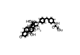 CC(C)(C)OC(=O)NC1CCC(Cc2ccc(N3C[C@@H]4C[C@H]5[C@@H]6CCC7=CC(=O)C=C[C@]7(C)[C@H]6[C@@H](O)C[C@]5(C)[C@]4(C(=O)CO)C3)cc2)CC1